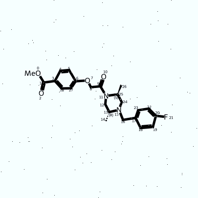 COC(=O)c1ccc(OCC(=O)N2C[C@@H](C)N(Cc3ccc(F)cc3)C[C@@H]2C)cc1